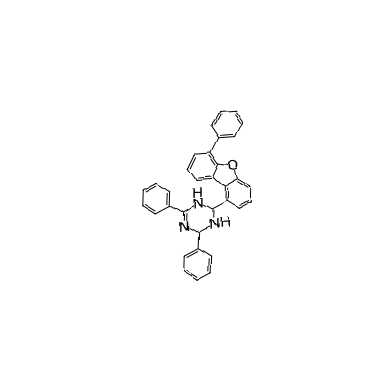 c1ccc(C2=NC(c3ccccc3)NC(c3cccc4oc5c(-c6ccccc6)cccc5c34)N2)cc1